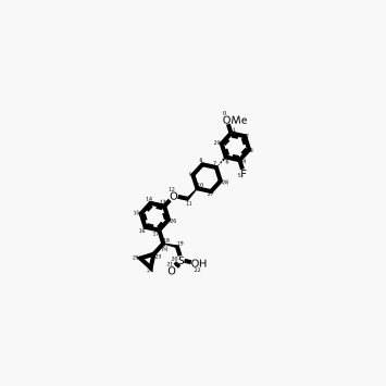 COc1ccc(F)c([C@H]2CC[C@H](COc3cccc([C@@H](CS(=O)O)C4CC4)c3)CC2)c1